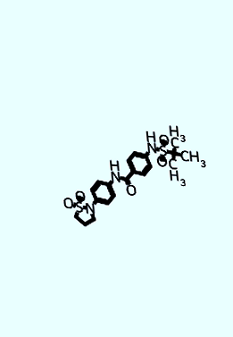 CC(C)(C)S(=O)(=O)Nc1ccc(C(=O)Nc2ccc(N3CCCS3(=O)=O)cc2)cc1